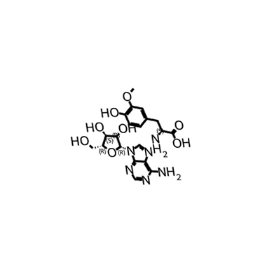 COc1cc(C[C@H](N)C(=O)O)ccc1O.Nc1ncnc2c1ncn2[C@@H]1O[C@H](CO)[C@@H](O)[C@H]1O